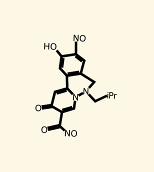 CC(C)CN1Cc2cc(N=O)c(O)cc2-c2cc(=O)c(C(=O)N=O)cn21